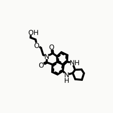 O=C1c2ccc3c4c(ccc(c24)C(=O)N1CCOCCO)NC1CCCCC1N3